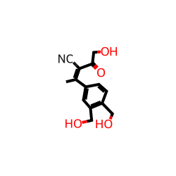 C/C(=C(\C#N)C(=O)CO)c1ccc(CO)c(CO)c1